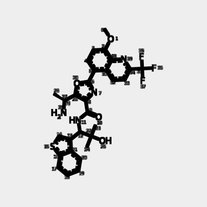 COc1ccc(-c2nc(C(=O)NC(c3csc4ccccc34)C(C)(C)O)c([C@H](C)N)o2)c2ccc(C(F)(F)F)nc12